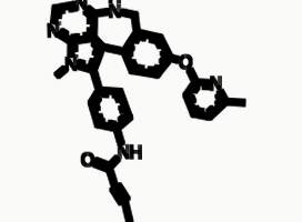 CC#CC(=O)Nc1ccc(-c2c3c4c(ncnc4n2C)NCc2cc(Oc4cccc(C)n4)ccc2-3)cc1